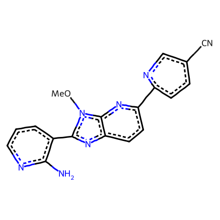 COn1c(-c2cccnc2N)nc2ccc(-c3ccc(C#N)cn3)nc21